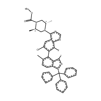 Cc1ccc2c(c(I)nn2C(c2ccccc2)(c2ccccc2)c2ccccc2)c1-c1c(Cl)cc2c(N3C[C@@H](C)N(C(=O)OC(C)(C)C)C[C@@H]3C)ncnc2c1F